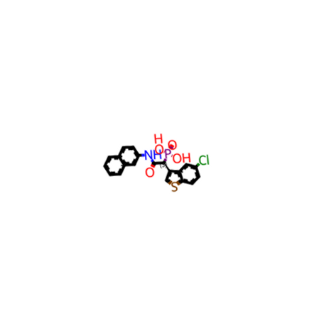 O=C(Nc1ccc2ccccc2c1)[C@H](c1csc2ccc(Cl)cc12)P(=O)(O)O